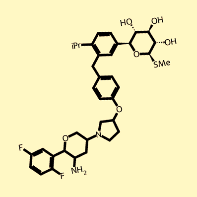 CS[C@H]1O[C@@H](c2ccc(C(C)C)c(Cc3ccc(OC4CCN(C5COC(c6cc(F)ccc6F)C(N)C5)C4)cc3)c2)[C@H](O)[C@@H](O)[C@@H]1O